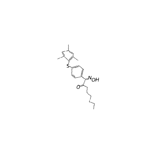 CCCCCCC(=O)C(=NO)c1ccc(Sc2c(C)cc(C)cc2C)cc1